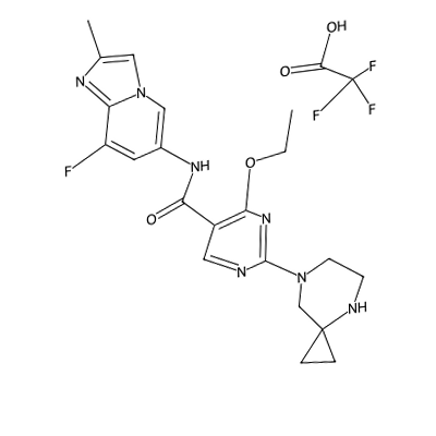 CCOc1nc(N2CCNC3(CC3)C2)ncc1C(=O)Nc1cc(F)c2nc(C)cn2c1.O=C(O)C(F)(F)F